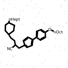 CCCCCCCCOc1ccc(-c2ccc(CC(C#N)CCC3CCC(CCCCCCC)CC3)cc2)cc1